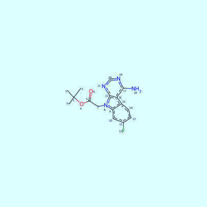 CC(C)(C)OC(=O)Cn1c2cc(F)ccc2c2c(N)ncnc21